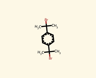 CC(C)(Br)c1ccc(C(C)(C)Br)cc1